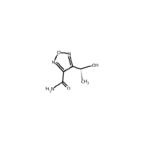 C[C@@H](O)c1nonc1C(N)=O